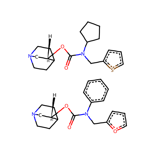 O=C(O[C@H]1CN2CCC1CC2)N(Cc1ccco1)c1ccccc1.O=C(O[C@H]1CN2CCC1CC2)N(Cc1cccs1)C1CCCC1